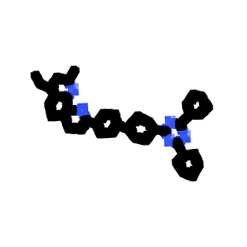 CCc1cc(C)nc2c1ccc1ccc(-c3ccc(-c4ccc(-c5nc(-c6ccccc6)nc(-c6ccccc6)n5)cc4)cc3)nc12